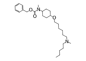 CCCCCN(C)CCCCCCOC1CCC(N(C)C(=O)OCc2ccccc2)CC1